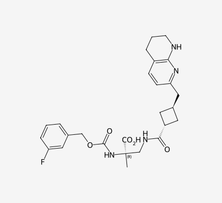 C[C@](CNC(=O)[C@H]1C[C@H](Cc2ccc3c(n2)NCCC3)C1)(NC(=O)OCc1cccc(F)c1)C(=O)O